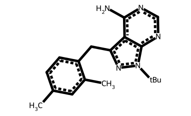 Cc1ccc(Cc2nn(C(C)(C)C)c3ncnc(N)c23)c(C)c1